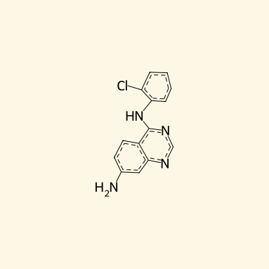 Nc1ccc2c(Nc3ccccc3Cl)ncnc2c1